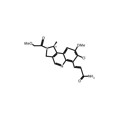 COCC(=O)N1Cc2cnc3c(C=CC(N)=O)c(Cl)c(OC)cc3c2[C@@H]1C